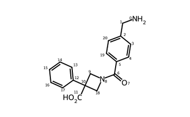 NCc1ccc(C(=O)N2CC(C(=O)O)(c3ccccc3)C2)cc1